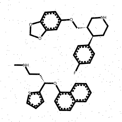 CNCC[C@H](Oc1cccc2ccccc12)c1cccs1.Fc1ccc([C@@H]2CCNC[C@H]2COc2ccc3c(c2)OCO3)cc1